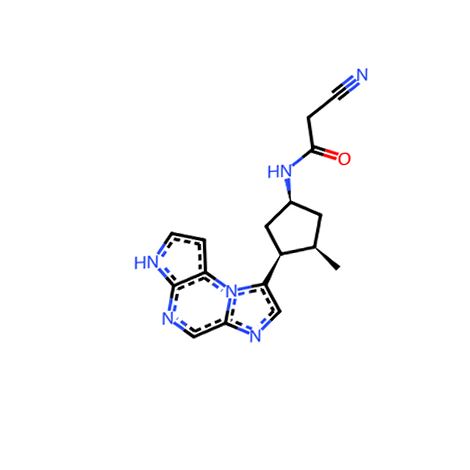 C[C@@H]1C[C@H](NC(=O)CC#N)C[C@@H]1c1cnc2cnc3[nH]ccc3n12